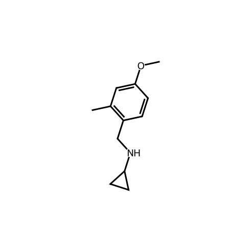 COc1ccc(CNC2CC2)c(C)c1